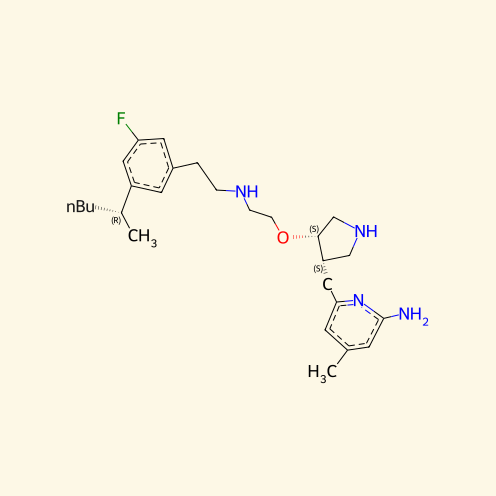 CCCC[C@@H](C)c1cc(F)cc(CCNCCO[C@@H]2CNC[C@@H]2Cc2cc(C)cc(N)n2)c1